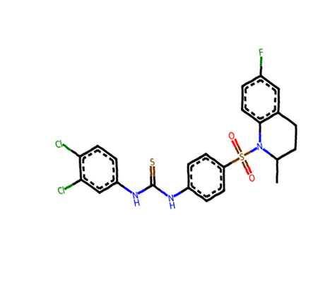 CC1CCc2cc(F)ccc2N1S(=O)(=O)c1ccc(NC(=S)Nc2ccc(Cl)c(Cl)c2)cc1